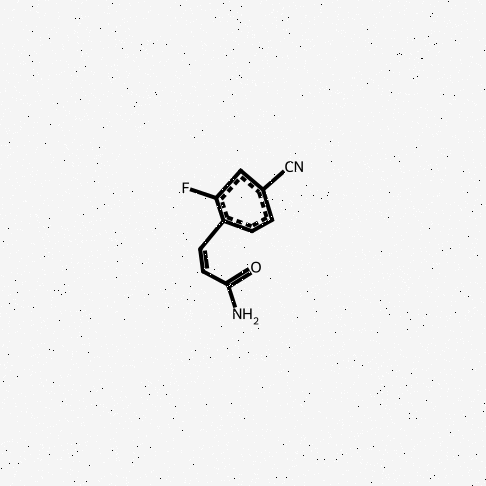 N#Cc1ccc(/C=C\C(N)=O)c(F)c1